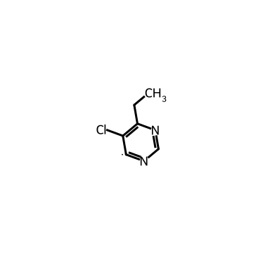 CCc1ncn[c]c1Cl